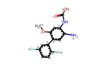 COc1cc(NC(=O)O)c(N)cc1-c1cc(F)ccc1F